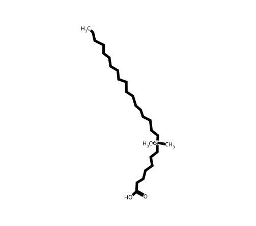 CCCCCCCCCCCCCCCCCC[Si](C)(C)CCCCCCC(=O)O